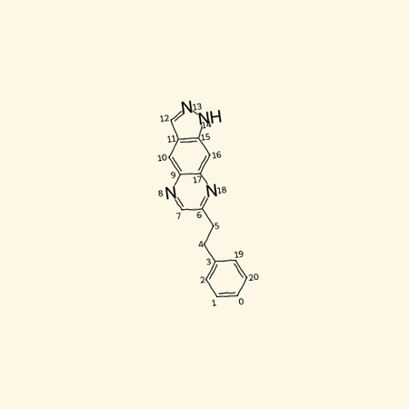 c1ccc(CCc2cnc3cc4cn[nH]c4cc3n2)cc1